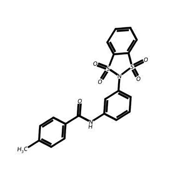 Cc1ccc(C(=O)Nc2cccc(N3S(=O)(=O)c4ccccc4S3(=O)=O)c2)cc1